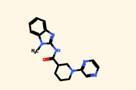 Cn1c(NC(=O)C2CCCN(c3cnccn3)C2)nc2ccccc21